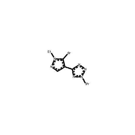 CCn1ncc(-c2nnn(C(C)C)n2)c1Br